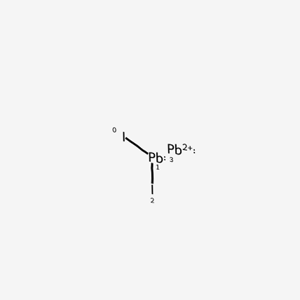 [I][Pb][I].[Pb+2]